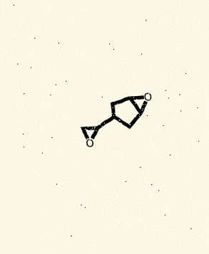 C1OC1C1CC2OC2C1